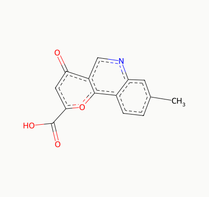 Cc1ccc2c(c1)ncc1c(=O)cc(C(=O)O)oc12